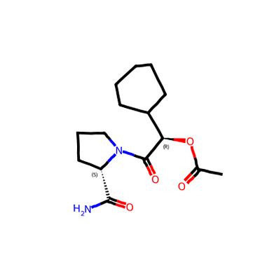 CC(=O)O[C@@H](C(=O)N1CCC[C@H]1C(N)=O)C1CCCCC1